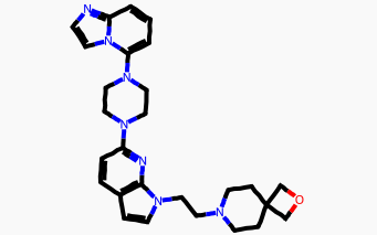 c1cc(N2CCN(c3ccc4ccn(CCN5CCC6(CC5)COC6)c4n3)CC2)n2ccnc2c1